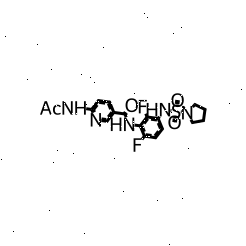 CC(=O)Nc1ccc(C(=O)Nc2c(F)ccc(NS(=O)(=O)N3CCCC3)c2F)cn1